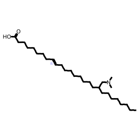 CCCCCCCCC(CCCCCCCC/C=C/CCCCCCCC(=O)O)CN(C)C